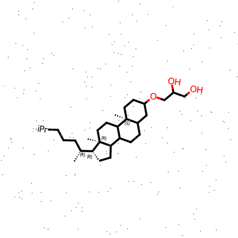 CC(C)CCC[C@@H](C)[C@H]1CCC2C3CCC4CC(OCC(O)CO)CC[C@]4(C)C3CC[C@@]21C